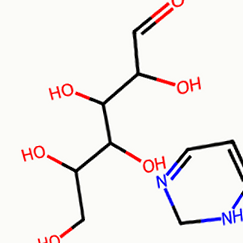 C1=CNCN=C1.O=CC(O)C(O)C(O)C(O)CO